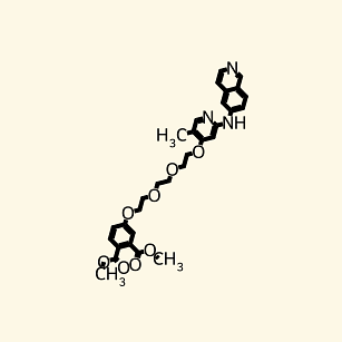 COC(=O)c1ccc(OCCOCCOCCOc2cc(Nc3ccc4cnccc4c3)ncc2C)cc1C(=O)OC